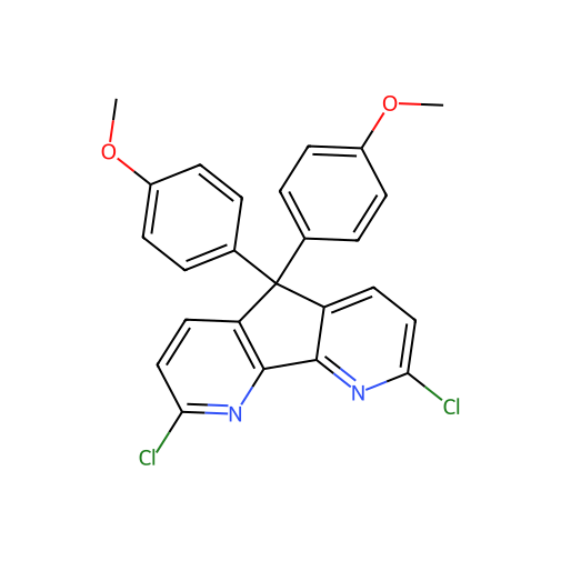 COc1ccc(C2(c3ccc(OC)cc3)c3ccc(Cl)nc3-c3nc(Cl)ccc32)cc1